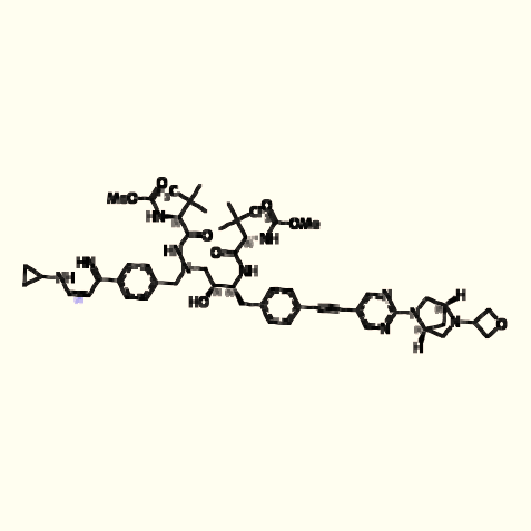 COC(=O)N[C@H](C(=O)N[C@@H](Cc1ccc(C#Cc2cnc(N3C[C@H]4C[C@@H]3CN4C3COC3)nc2)cc1)[C@@H](O)CN(Cc1ccc(C(=N)/C=C\NC2CC2)cc1)NC(=O)[C@@H](NC(=O)OC)C(C)(C)C(F)(F)F)C(C)(C)C(F)(F)F